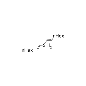 CCCCCCC=C[SiH2]C=CCCCCCC